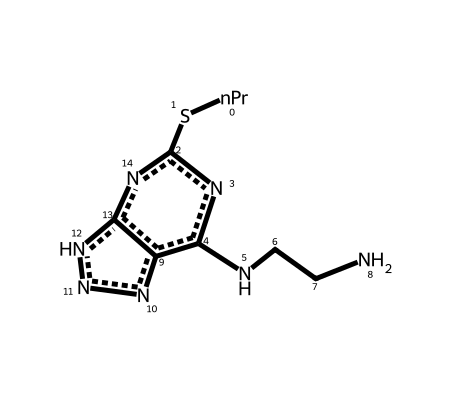 CCCSc1nc(NCCN)c2nn[nH]c2n1